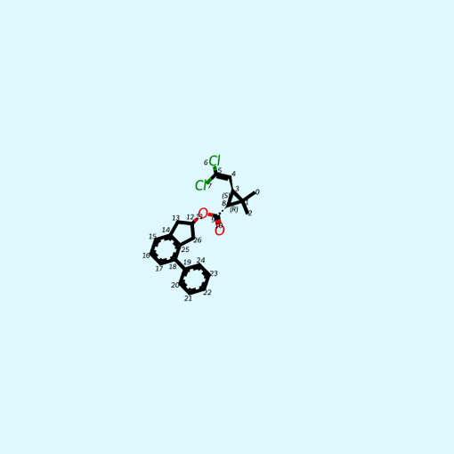 CC1(C)[C@H](C=C(Cl)Cl)[C@H]1C(=O)OC1Cc2cccc(-c3ccccc3)c2C1